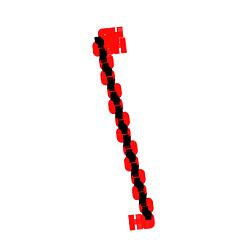 CC(OCCOCCOCCOCCOCCOCCOCCOCCOCCOCCOCCOCCO)P(=O)(O)O